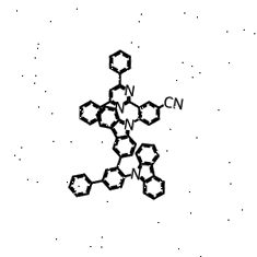 N#Cc1ccc(-n2c3ccccc3c3cc(-c4cc(-c5ccccc5)ccc4-n4c5ccccc5c5ccccc54)ccc32)c(-c2nc(-c3ccccc3)cc(-c3ccccc3)n2)c1